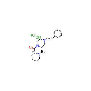 CCN1CCCC[C@H]1C(=O)N1CCN(CCc2ccccc2)CC1.Cl.Cl